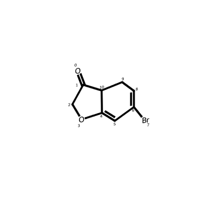 O=C1COC2=CC(Br)=CCC12